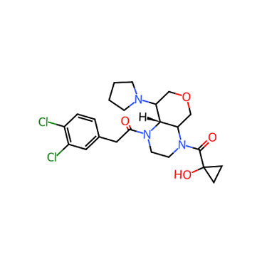 O=C(Cc1ccc(Cl)c(Cl)c1)N1CCN(C(=O)C2(O)CC2)C2COCC(N3CCCC3)[C@H]21